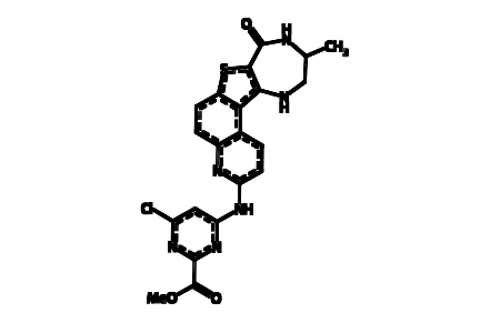 COC(=O)c1nc(Cl)cc(Nc2ccc3c(ccc4sc5c(c43)NCC(C)NC5=O)n2)n1